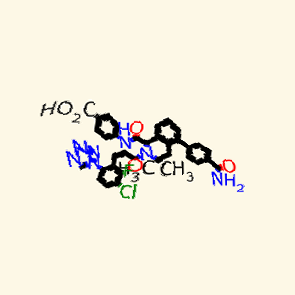 CC1(C)Cc2c(-c3ccc(C(N)=O)cc3)cccc2C(C(=O)Nc2ccc(C(=O)O)cc2)N1C(=O)C=Cc1c(-n2cnnn2)ccc(Cl)c1F